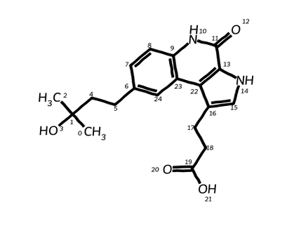 CC(C)(O)CCc1ccc2[nH]c(=O)c3[nH]cc(CCC(=O)O)c3c2c1